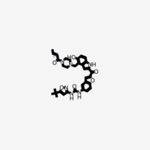 C/C=C/C(=O)N1CCN(Cc2c(O)ccc3[nH]c(C(=O)c4cc5cc(NC(=O)Nc6cc(C(C)(C)C)on6)ccc5o4)cc23)CC1